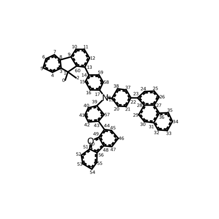 CC1(C)c2ccccc2-c2cccc(-c3ccc(N(c4ccc(-c5cccc6c5ccc5ccccc56)cc4)c4cccc(-c5cccc6c5oc5ccccc56)c4)cc3)c21